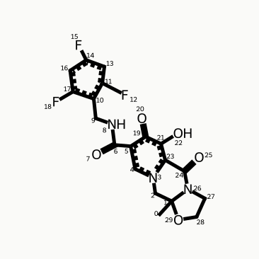 CC12Cn3cc(C(=O)NCc4c(F)cc(F)cc4F)c(=O)c(O)c3C(=O)N1CCO2